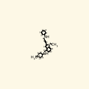 CCn1c(C#CCNc2ccccc2)cc2c(CNC3CCN(C)CC3)cccc21